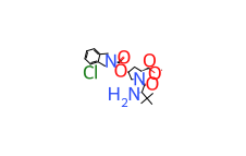 COC(=O)[C@@H]1C[C@@H](OC(=O)N2Cc3cccc(Cl)c3C2)CN1C(=O)[C@@H](N)C(C)(C)C